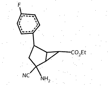 CCOC(=O)C1C2C(c3ccc(F)cc3)CC(N)(C#N)C12